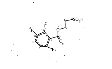 O=C(OCCS(=O)(=O)O)c1c(F)ccc(F)c1F